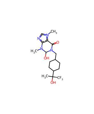 CN1c2ncn(C)c2C(=O)N(CC2CCC(C(C)(O)C(F)(F)F)CC2)C1O